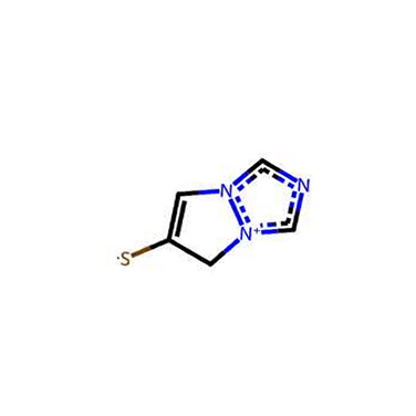 [S]C1=Cn2cnc[n+]2C1